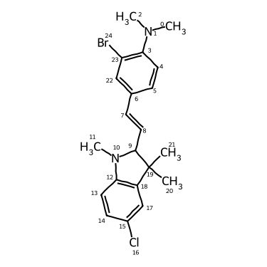 CN(C)c1ccc(C=CC2N(C)c3ccc(Cl)cc3C2(C)C)cc1Br